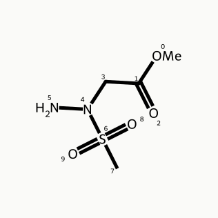 COC(=O)CN(N)S(C)(=O)=O